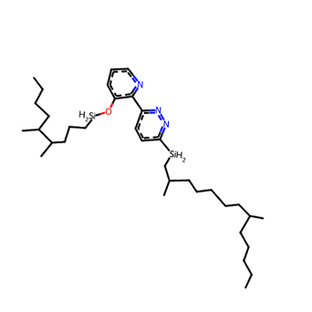 CCCCCC(C)CCCCCC(C)C[SiH2]c1ccc(-c2ncccc2O[SiH2]CCCC(C)C(C)CCCC)nn1